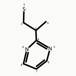 CC(C[S])c1ncccn1